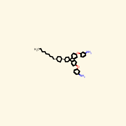 CCCCCCCCC[C@H]1CC[C@@H](C2CCC(c3ccc(Oc4cccc(N)c4)cc3)(c3ccc(Oc4cccc(N)c4)cc3)CC2)CC1